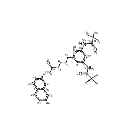 CC(C)(C)C(=O)Nc1cc(CCCCC(=O)C=Cc2cnc3ccccc3c2)nc(NC(=O)C(C)(C)C)n1